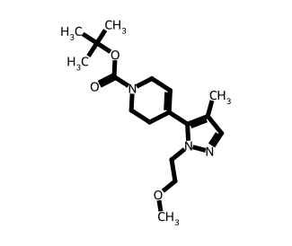 COCCn1ncc(C)c1C1=CCN(C(=O)OC(C)(C)C)CC1